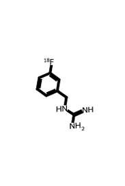 N=C(N)NCc1cccc([18F])c1